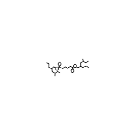 CCCC(COC(=O)CCCCC(=O)OCC(CCC)CC(C)CC)CC(C)CC